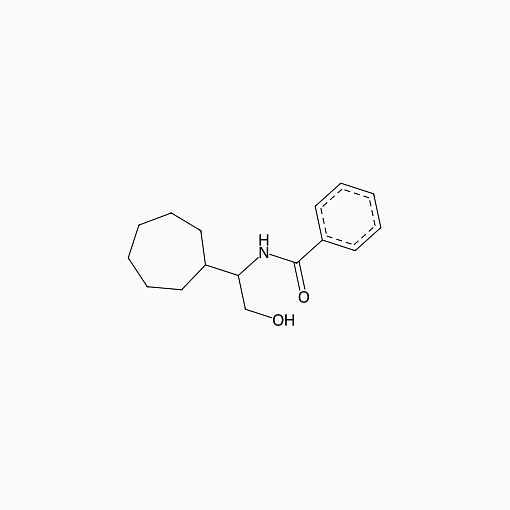 O=C(NC(CO)C1CCCCCC1)c1ccccc1